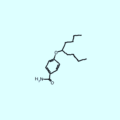 CCCCC(CCCC)Oc1ccc(C(N)=O)cc1